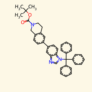 CC(C)(C)OC(=O)N1CCc2cc(-c3ccc4c(c3)ncn4C(c3ccccc3)(c3ccccc3)c3ccccc3)ccc2C1